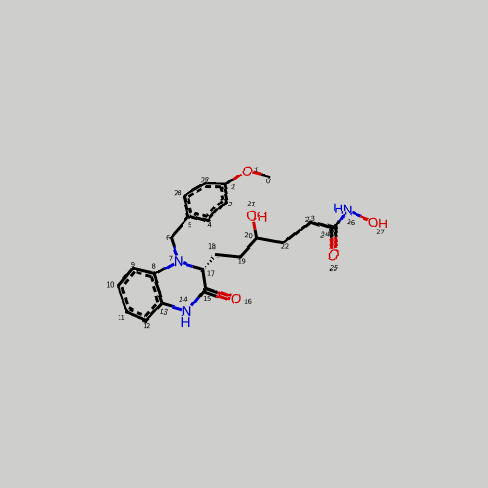 COc1ccc(CN2c3ccccc3NC(=O)[C@H]2CCC(O)CCC(=O)NO)cc1